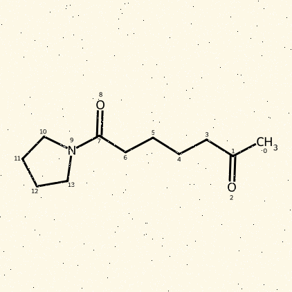 CC(=O)CCCCC(=O)N1CCCC1